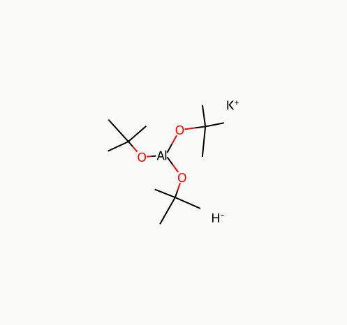 CC(C)(C)[O][Al]([O]C(C)(C)C)[O]C(C)(C)C.[H-].[K+]